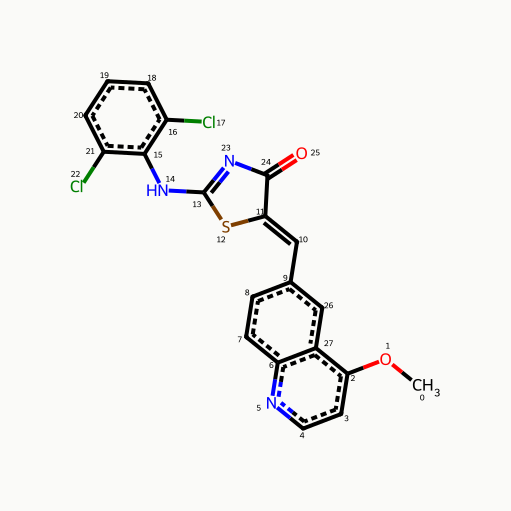 COc1ccnc2ccc(/C=C3\SC(Nc4c(Cl)cccc4Cl)=NC3=O)cc12